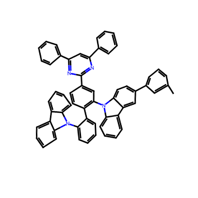 Cc1cccc(-c2ccc3c(c2)c2ccccc2n3-c2cc(-c3nc(-c4ccccc4)cc(-c4ccccc4)n3)ccc2-c2ccccc2-n2c3ccccc3c3ccccc32)c1